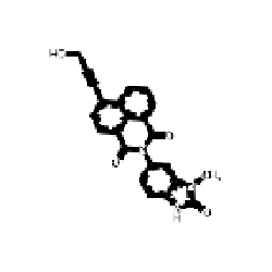 Cn1c(=O)[nH]c2ccc(N3C(=O)c4cccc5c(C#CCO)ccc(c45)C3=O)cc21